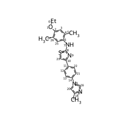 CCOc1cc(C)c(Nc2nc(-c3ccc(-n4cnc(C)c4)cc3)cs2)cc1C